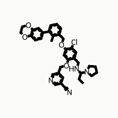 CCC(NCc1cc(Cl)c(OCc2cccc(-c3ccc4c(c3)OCCO4)c2C)cc1OCc1cncc(C#N)c1)N1CCCC1